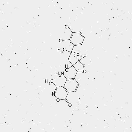 Cc1noc(=O)c2ccc(C(=O)C(O)(CC(C)(C)c3cccc(Cl)c3Cl)C(F)(F)F)c(N)c12